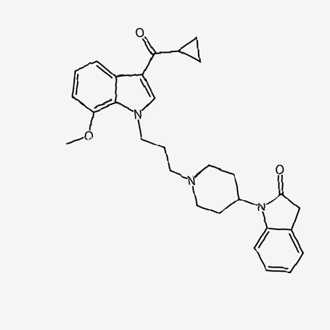 COc1cccc2c(C(=O)C3CC3)cn(CCCN3CCC(N4C(=O)Cc5ccccc54)CC3)c12